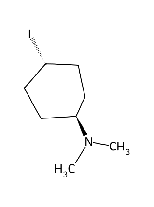 CN(C)[C@H]1CC[C@H](I)CC1